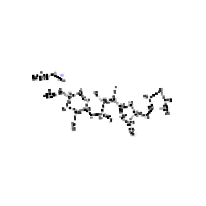 CN/C=C\C(=N)c1ccc(Cc2cc3c(c(C)c2C)CN(CC2CCCO2)C3=O)c(F)c1